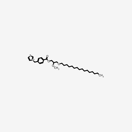 CCCCCCCCCCCCCCCCOCC(COC(=O)c1ccc(C[n+]2ccsc2)cc1)OC